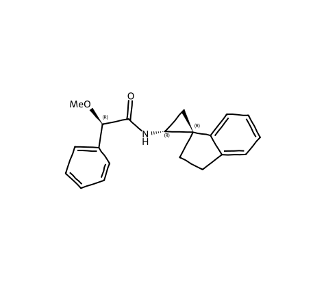 CO[C@@H](C(=O)N[C@@H]1C[C@@]12CCc1ccccc12)c1ccccc1